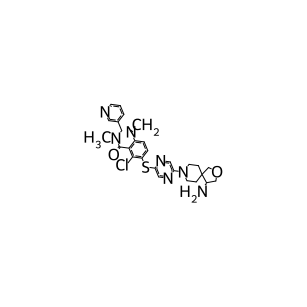 C=Nc1ccc(Sc2cnc(N3CCC4(CC3)COC[C@H]4N)cn2)c(Cl)c1C(=O)N(C)Cc1cccnc1